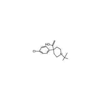 C=C(O)C1(c2ccc(Cl)cc2)CCN(C(C)(C)C)CC1